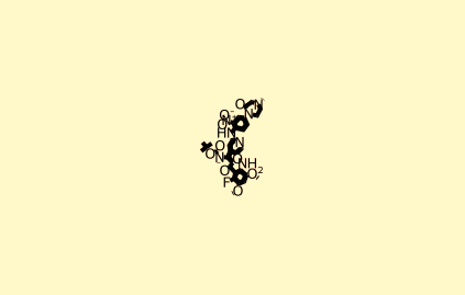 COc1cc(OC)c(F)c(C(=O)c2oc3cnc(Nc4ccc(N5CCN(C)CC5=O)cc4[N+](=O)[O-])cc3c2N(C)C(=O)OC(C)(C)C)c1N